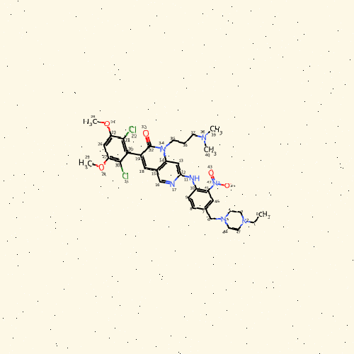 CCN1CCN(Cc2ccc(Nc3cc4c(cn3)cc(-c3c(Cl)c(OC)cc(OC)c3Cl)c(=O)n4CCCN(C)C)c([N+](=O)[O-])c2)CC1